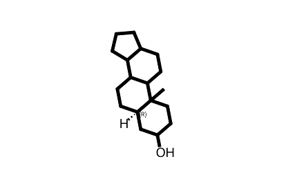 CC12CCC(O)C[C@H]1CCC1C3CCCC3CCC12